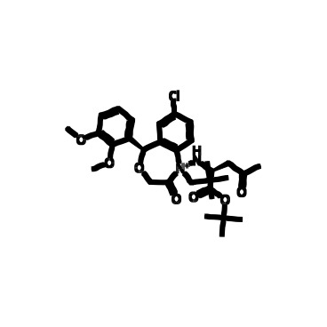 COc1cccc([C@@H]2OCC(=O)[N+](CC(C)(C)C)(N[C@@H](CC(C)=O)C(=O)OC(C)(C)C)c3ccc(Cl)cc32)c1OC